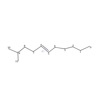 CCCCC/C=C/CC[C](C)C